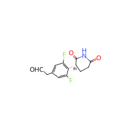 O=CCc1cc(F)c([C@H]2CCC(=O)NC2=O)c(F)c1